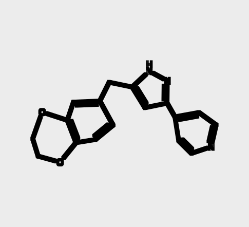 c1cc(-c2cc(Cc3ccc4c(c3)OCCO4)[nH]n2)ccn1